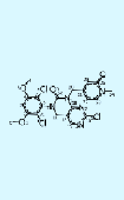 COc1cc(OC)c(Cl)c(N2Cc3cnc(Cl)nc3N(Cc3ccn(C)c(=O)c3)C2=O)c1Cl